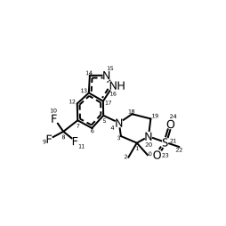 CC1(C)CN(c2cc(C(F)(F)F)cc3cn[nH]c23)CCN1S(C)(=O)=O